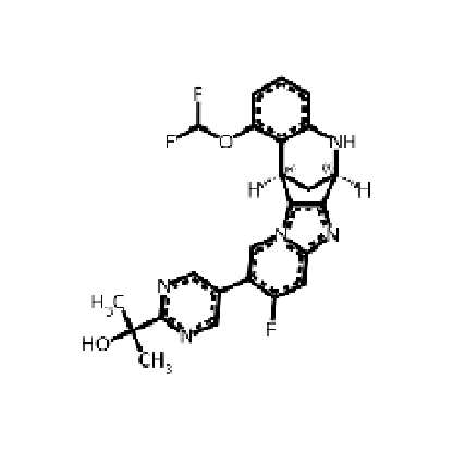 CC(C)(O)c1ncc(-c2cn3c4c(nc3cc2F)[C@H]2C[C@@H]4c3c(cccc3OC(F)F)N2)cn1